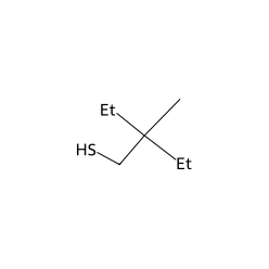 CCC(C)(CC)CS